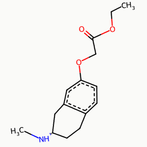 CCOC(=O)COc1ccc2c(c1)C[C@@H](NC)CC2